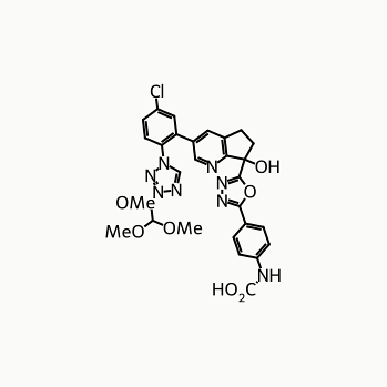 COC(OC)OC.O=C(O)Nc1ccc(-c2nnc(C3(O)CCc4cc(-c5cc(Cl)ccc5-n5cnnn5)cnc43)o2)cc1